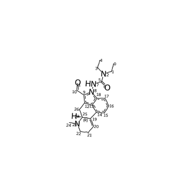 CCN(CC)C(=O)Nn1c(C=O)c2c3c(cccc31)C1=CCCN(C)[C@@H]1C2